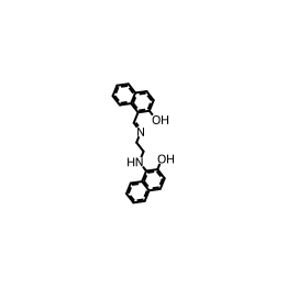 Oc1ccc2ccccc2c1/C=N/CCNc1c(O)ccc2ccccc12